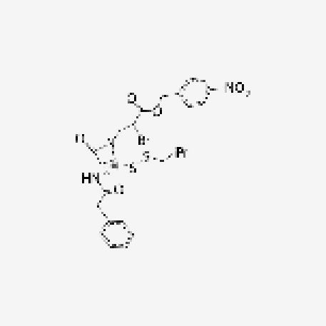 CC(C)CSS[C@@H]1[C@H](NC(=O)Cc2ccccc2)C(=O)N1CC(Br)C(=O)OCc1ccc([N+](=O)[O-])cc1